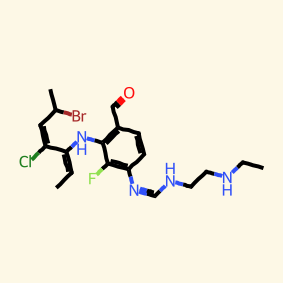 C/C=C(Nc1c(C=O)ccc(/N=C\NCCNCC)c1F)\C(Cl)=C/C(C)Br